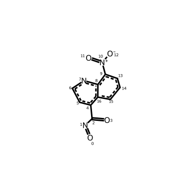 O=NC(=O)c1ccnc2c([N+](=O)[O-])cccc12